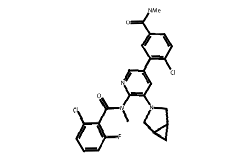 CNC(=O)c1ccc(Cl)c(-c2cnc(N(C)C(=O)c3c(F)cccc3Cl)c(N3CC4CC4C3)c2)c1